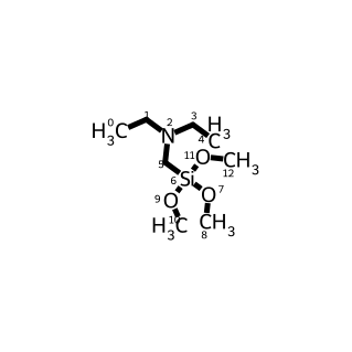 CCN(CC)C[Si](OC)(OC)OC